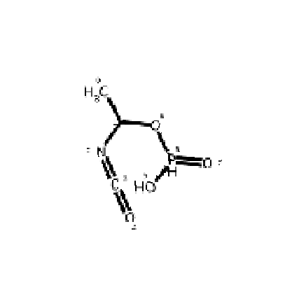 CC(N=C=O)O[PH](=O)O